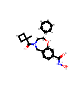 CC1(C(=O)N2Cc3ccc(C(=O)NO)cc3O[C@@H](c3ccccc3)C2)CCC1